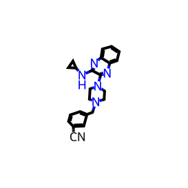 N#Cc1cccc(CN2CCN(c3nc4ccccc4nc3NC3CC3)CC2)c1